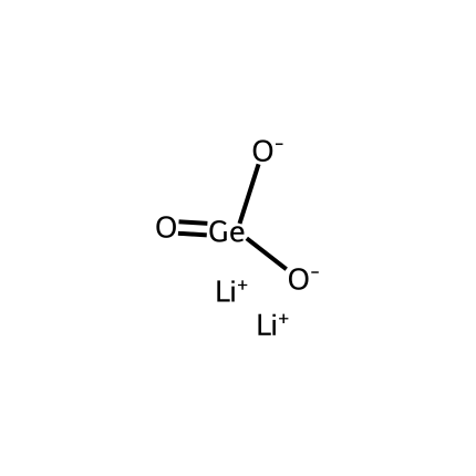 [Li+].[Li+].[O]=[Ge]([O-])[O-]